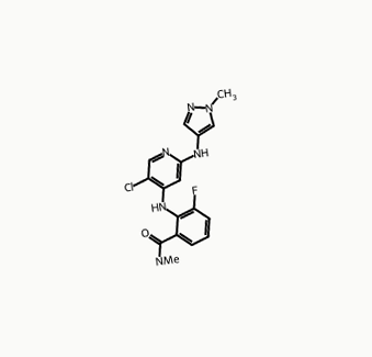 CNC(=O)c1cccc(F)c1Nc1cc(Nc2cnn(C)c2)ncc1Cl